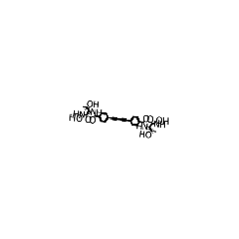 C[C@@H](O)[C@H](NC(=O)c1ccc(C#CC#Cc2ccc(C(=O)N[C@H](C(=O)NO)[C@@H](C)O)cc2)cc1)C(=O)NO